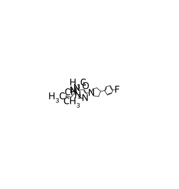 COc1c(N2CCC(c3ccc(F)cc3)CC2)ncn2c(CC(C)(C)C)nnc12